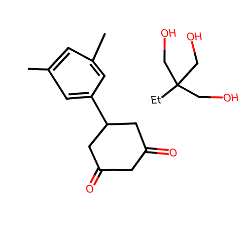 CCC(CO)(CO)CO.Cc1cc(C)cc(C2CC(=O)CC(=O)C2)c1